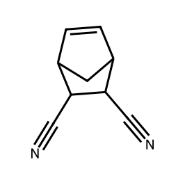 N#CC1C2C=CC(C2)C1C#N